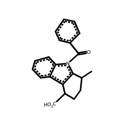 CC1CCC(C(=O)O)c2c1n(C(=O)c1ccccc1)c1ccccc21